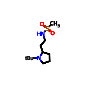 CC(C)(C)N1CCCC1CCNS(C)(=O)=O